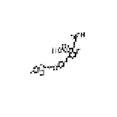 Cc1ccc(OC/C=C/COc2ccc(/C=C/c3ccc(F)c4c(CCCC(=O)O)c(C)n(CC(=O)O)c34)cc2)c(Cl)c1